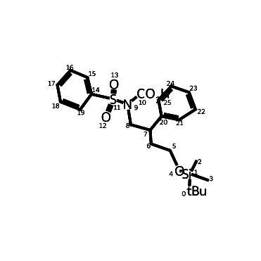 CC(C)(C)[Si](C)(C)OCCC(CN(C(=O)O)S(=O)(=O)c1ccccc1)c1ccccc1